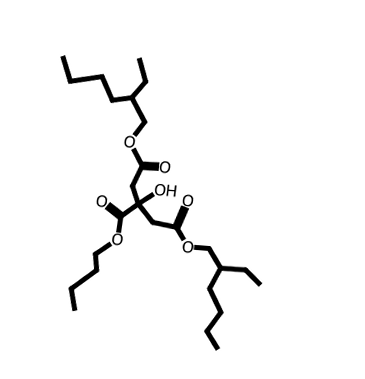 CCCCOC(=O)C(O)(CC(=O)OCC(CC)CCCC)CC(=O)OCC(CC)CCCC